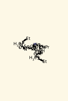 CCC#CCCN(C)C(=O)c1cnc(OCC(CNC(C)C)OC(=O)/C=C\C(=O)OC(CNC(C)C)COc2ncc(C(=O)N(C)CCC#CCC)s2)s1